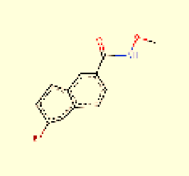 CONC(=O)c1ccc2cc(Br)ccc2c1